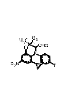 CC1(C)Oc2cc([N+](=O)[O-])cc(C3CC3)c2N(c2ccc(F)cc2)C1C=O